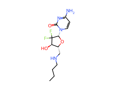 CCCCNC[C@H]1O[C@@H](n2ccc(N)nc2=O)C(F)(F)[C@@H]1O